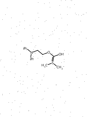 CC(C)N(CCOC(O)=S(C)C)C(C)C